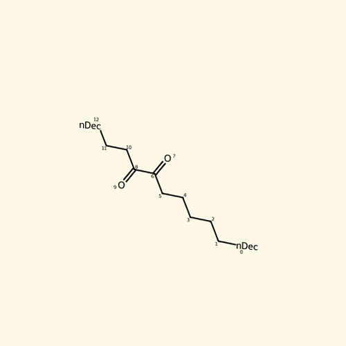 CCCCCCCCCCCCCCCC(=O)C(=O)CCCCCCCCCCCC